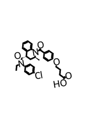 CCN(C(=O)[C@H]1C[C@H](C)N(C(=O)c2ccc(OCCCC(=O)O)cc2)c2ccccc21)c1ccc(Cl)cc1